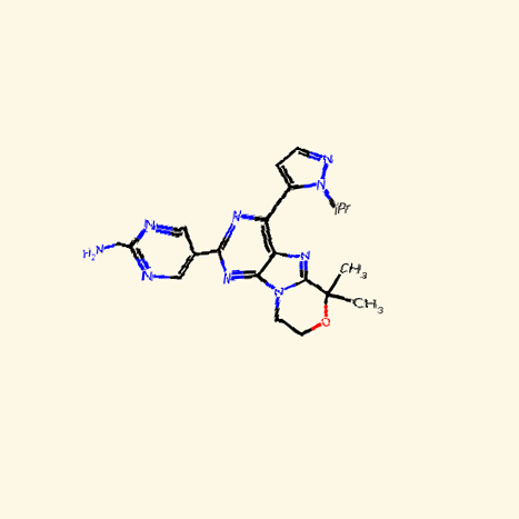 CC(C)n1nccc1-c1nc(-c2cnc(N)nc2)nc2c1nc1n2CCOC1(C)C